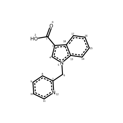 O=C(O)c1cn(Cc2ccccn2)c2ccccc12